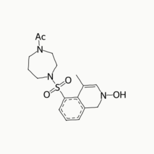 CC(=O)N1CCCN(S(=O)(=O)c2cccc3c2C(C)=CN(O)C3)CC1